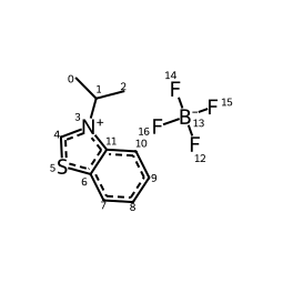 CC(C)[n+]1csc2ccccc21.F[B-](F)(F)F